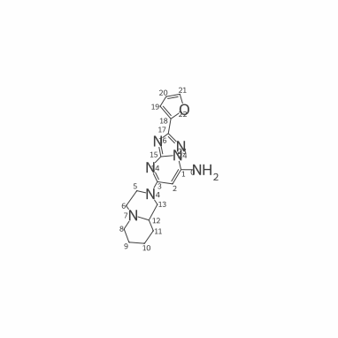 Nc1cc(N2CCN3CCCCC3C2)nc2nc(-c3ccco3)nn12